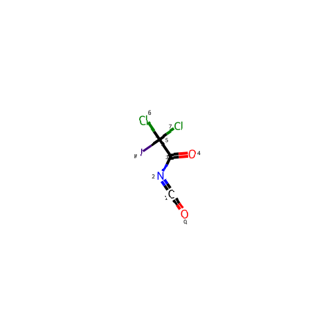 O=C=NC(=O)C(Cl)(Cl)I